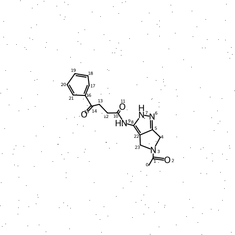 CC(=O)N1Cc2n[nH]c(NC(=O)CCC(=O)c3ccccc3)c2C1